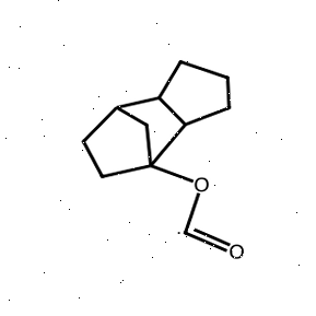 O=[C]OC12CCC(C1)C1CCCC12